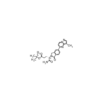 Cc1cnn2ccc(-c3ccc4c(c3)CN([C@@H](CCC(=O)OC(C)(C)C)C(N)=O)C4=O)nc12